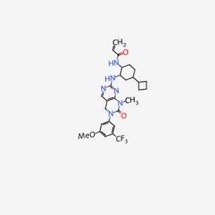 C=CC(=O)N[C@H]1CCC(C2CCC2)C[C@H]1Nc1ncc2c(n1)N(C)C(=O)N(c1cc(OC)cc(C(F)(F)F)c1)C2